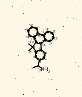 CC(N)c1ccc2c(c1)C(C)(C)c1c-2c2ccccc2c2ccccc12